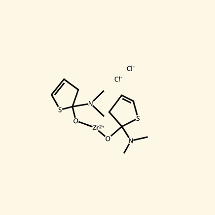 CN(C)C1([O][Zr+2][O]C2(N(C)C)CC=CS2)CC=CS1.[Cl-].[Cl-]